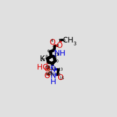 CCOC(=O)c1cc2cc(O)c(N3CC(=O)NS3(=O)=O)cc2[nH]1.[K]